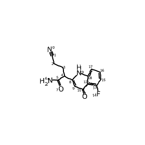 N#CCCC(C(N)=O)c1cc(=O)c2c(F)cccc2[nH]1